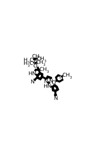 CN1CCC(Oc2ccc(C#N)cc2Nc2nccc(-c3cc(C#N)c4c(c3)[C@@](C)(CO[Si](C)(C)C(C)(C)C)CN4)n2)CC1